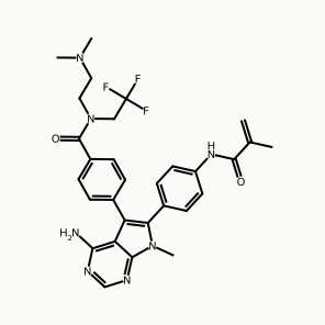 C=C(C)C(=O)Nc1ccc(-c2c(-c3ccc(C(=O)N(CCN(C)C)CC(F)(F)F)cc3)c3c(N)ncnc3n2C)cc1